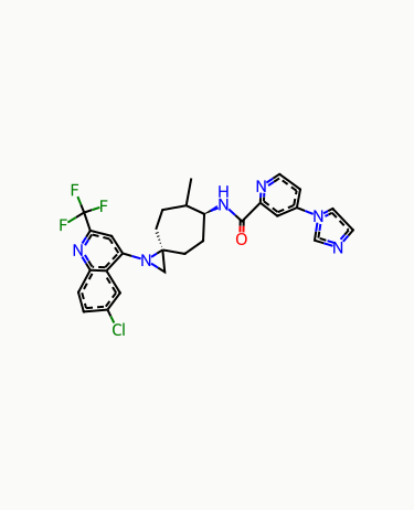 CC1CC[C@]2(CC[C@@H]1NC(=O)c1cc(-n3ccnc3)ccn1)CN2c1cc(C(F)(F)F)nc2ccc(Cl)cc12